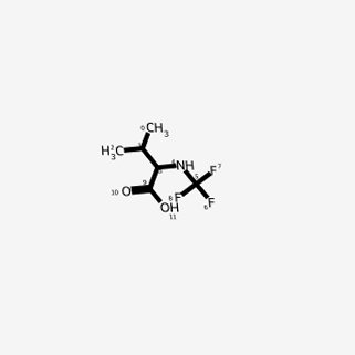 CC(C)C(NC(F)(F)F)C(=O)O